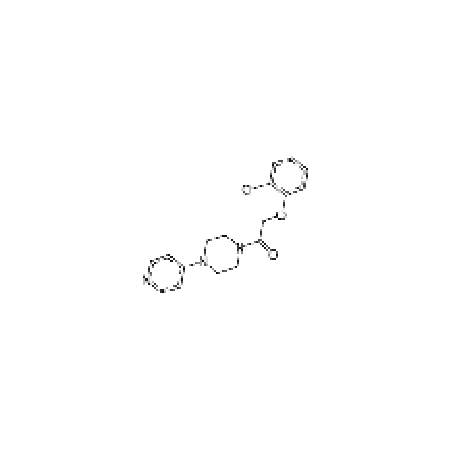 O=C(COc1ccccc1Cl)N1CCN(c2ccncc2)CC1